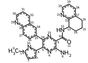 Cn1ccc(-c2nc(N)c(C(=O)NC3CCCc4cccnc43)nc2-c2ccc3ncccc3c2)n1